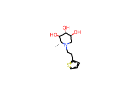 C[C@@H]1[C@@H](O)[C@H](O)[C@@H](O)CN1CCc1cccs1